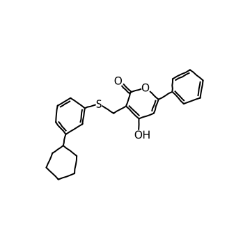 O=c1oc(-c2ccccc2)cc(O)c1CSc1cccc(C2CCCCC2)c1